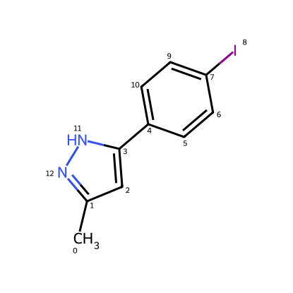 Cc1cc(-c2ccc(I)cc2)[nH]n1